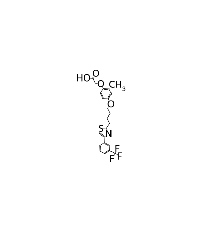 Cc1cc(OCCCCc2nc(-c3cccc(C(F)(F)F)c3)cs2)ccc1OCC(=O)O